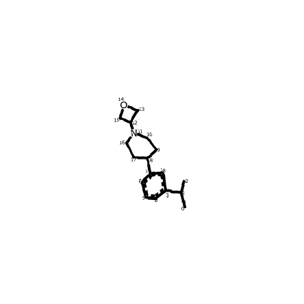 CC(C)c1cccc(C2CCN(C3COC3)CC2)c1